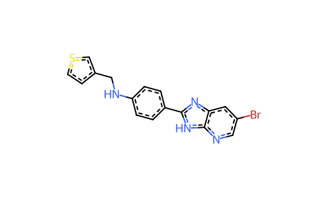 Brc1cnc2[nH]c(-c3ccc(NCc4ccsc4)cc3)nc2c1